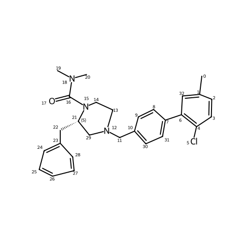 Cc1ccc(Cl)c(-c2ccc(CN3CCN(C(=O)N(C)C)[C@@H](Cc4ccccc4)C3)cc2)c1